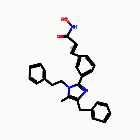 Cc1c(Cc2ccccc2)nc(-c2cccc(/C=C/C(=O)NO)c2)n1CCc1ccccc1